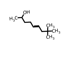 CC(O)CCC=CCC(C)(C)C